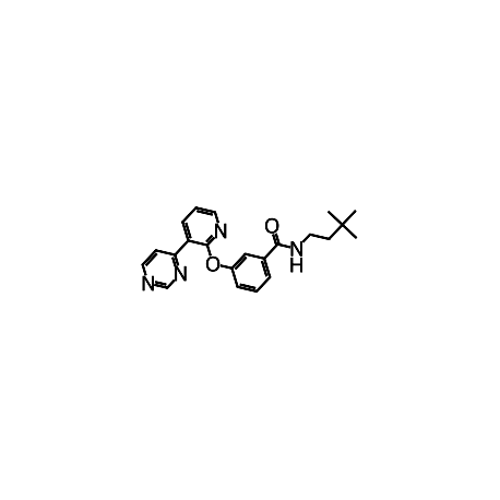 CC(C)(C)CCNC(=O)c1cccc(Oc2ncccc2-c2ccncn2)c1